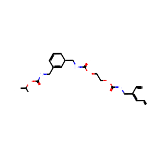 C=C/C=C(\C=C)CNC(=O)OCCOC(=O)NCC1C=C(CNC(=O)OC(C)C)C=CC1